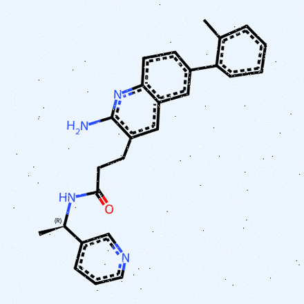 Cc1ccccc1-c1ccc2nc(N)c(CCC(=O)N[C@H](C)c3cccnc3)cc2c1